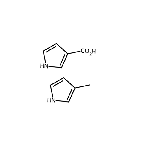 Cc1cc[nH]c1.O=C(O)c1cc[nH]c1